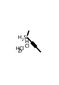 CC#C[SiH2]C.Cl.Cl.[Zr]